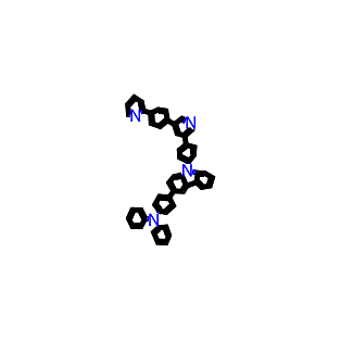 c1ccc(N(c2ccccc2)c2ccc(-c3ccc4c(c3)c3ccccc3n4-c3ccc(-c4cncc(-c5ccc(-c6ccccn6)cc5)c4)cc3)cc2)cc1